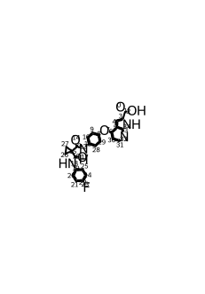 O=C(O)c1cc2c(Oc3ccc(NC(=O)C4(C(=O)Nc5ccc(F)cc5)CC4)cc3)ccnc2[nH]1